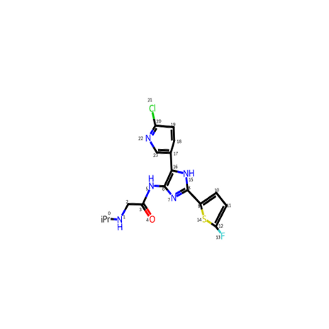 CC(C)NCC(=O)Nc1nc(-c2ccc(F)s2)[nH]c1-c1ccc(Cl)nc1